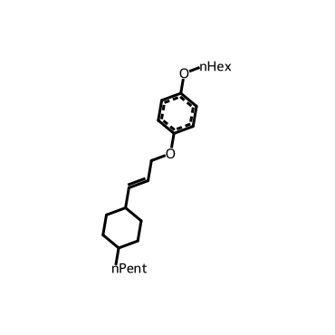 CCCCCCOc1ccc(OCC=CC2CCC(CCCCC)CC2)cc1